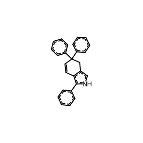 C1=CC(c2ccccc2)(c2ccccc2)Cc2c[nH]c(-c3ccccc3)c21